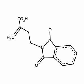 C=C(CCN1C(=O)c2ccccc2C1=O)C(=O)O